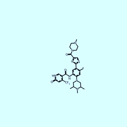 CC1CN(c2cc(F)c(-c3nc(C(=O)N4CCN(C)CC4)cs3)cc2NC(=O)c2c[nH]c(=O)cc2C(F)(F)F)CC(C)N1C